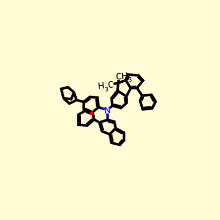 CC1(C)c2cc(N(c3ccc(C4CC5CCC4C5)cc3)c3cc4ccccc4cc3-c3ccccc3)ccc2-c2c(-c3ccccc3)cccc21